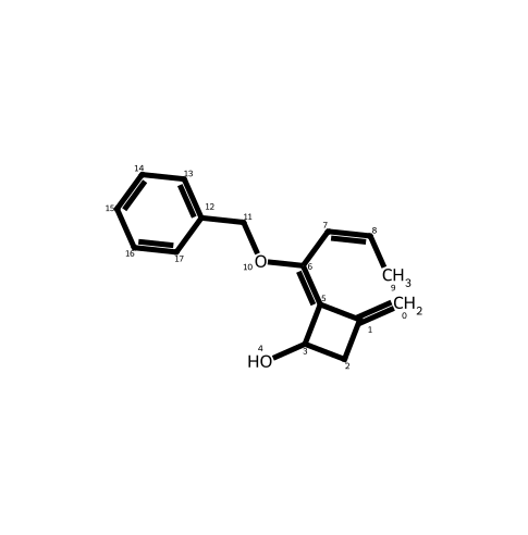 C=C1CC(O)/C1=C(/C=C\C)OCc1ccccc1